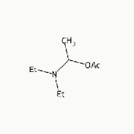 CCN(CC)C(C)OC(C)=O